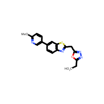 COc1ccc(-c2ccc3nc(Cc4nnc(CC(=O)O)o4)sc3c2)cn1